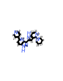 c1cc(-c2ccc3[nH]nc(-c4cc5c(N6CCCCC6)nccc5[nH]4)c3n2)ccn1